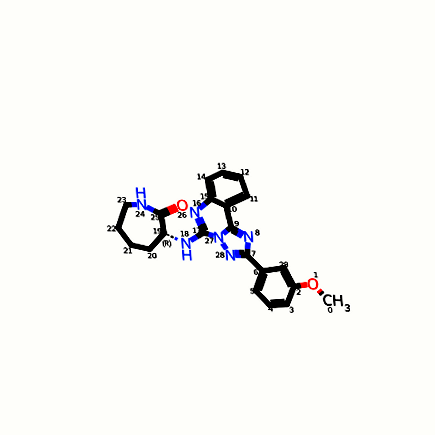 COc1cccc(-c2nc3c4ccccc4nc(N[C@@H]4CCCCNC4=O)n3n2)c1